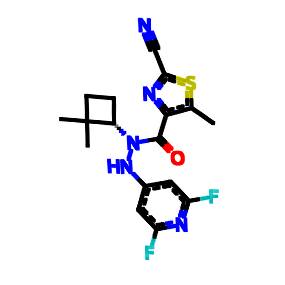 Cc1sc(C#N)nc1C(=O)N(Nc1cc(F)nc(F)c1)[C@H]1CCC1(C)C